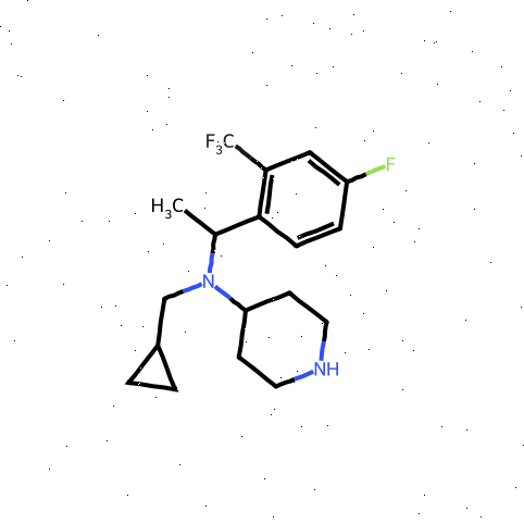 CC(c1ccc(F)cc1C(F)(F)F)N(CC1CC1)C1CCNCC1